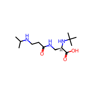 CC(C)NCCC(=O)NC[C@@H](NC(C)(C)C)C(=O)O